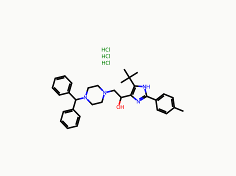 Cc1ccc(-c2nc(C(O)CN3CCN(C(c4ccccc4)c4ccccc4)CC3)c(C(C)(C)C)[nH]2)cc1.Cl.Cl.Cl